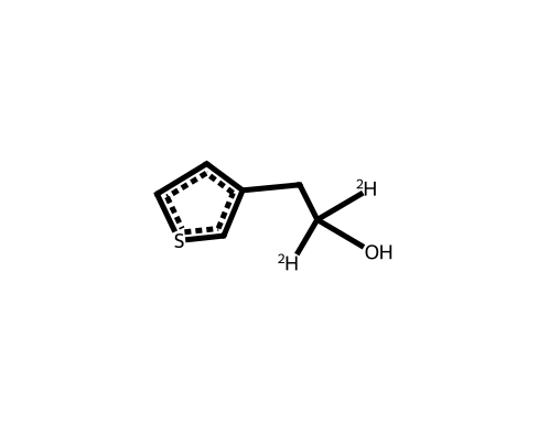 [2H]C([2H])(O)Cc1ccsc1